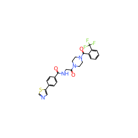 O=C(NCC(=O)N1CCN(C(=O)c2ccccc2C(F)(F)F)CC1)c1ccc(-c2cncs2)cc1